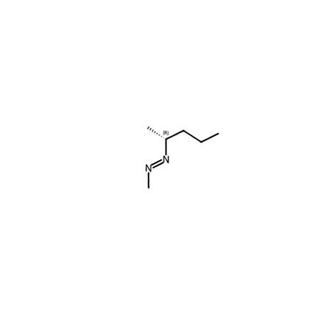 CCC[C@@H](C)N=NC